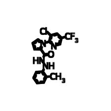 Cc1ccccc1NNC(=O)c1cccn1-c1ncc(C(F)(F)F)cc1Cl